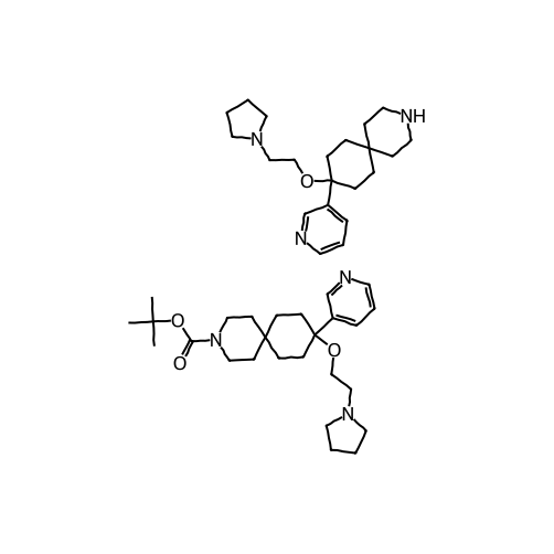 CC(C)(C)OC(=O)N1CCC2(CC1)CCC(OCCN1CCCC1)(c1cccnc1)CC2.c1cncc(C2(OCCN3CCCC3)CCC3(CCNCC3)CC2)c1